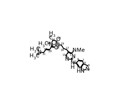 CNc1nc(Nc2ccc3cn[nH]c3c2)ncc1CCCNC(=O)[C@H](C)N(C)C(=O)/C=C/CN(C)C